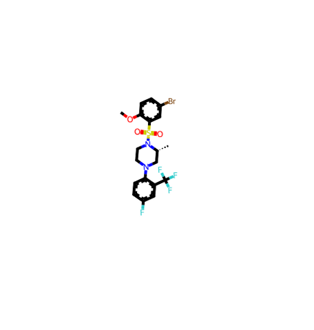 COc1ccc(Br)cc1S(=O)(=O)N1CCN(c2ccc(F)cc2C(F)(F)F)C[C@H]1C